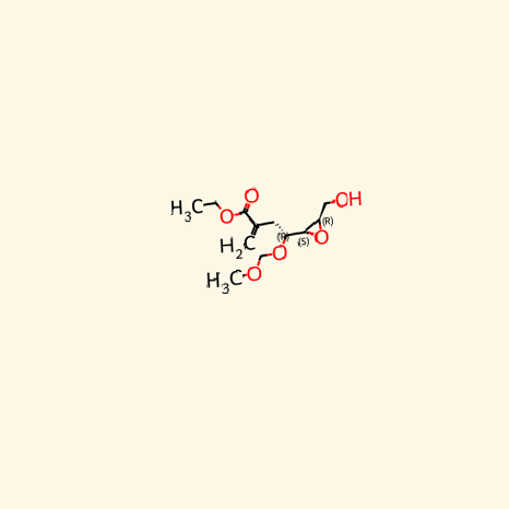 C=C(C[C@@H](OCOC)[C@@H]1O[C@@H]1CO)C(=O)OCC